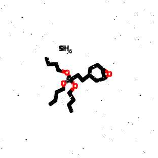 CCCCO[Si](CCC1CCC2OC2C1)(OCCCC)OCCCC.[SiH4]